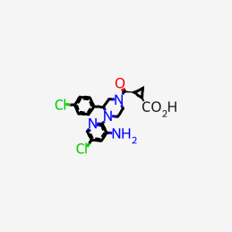 Nc1cc(Cl)cnc1N1CCN(C(=O)[C@H]2C[C@H]2C(=O)O)CC1c1ccc(Cl)cc1